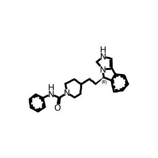 O=C(Nc1ccccc1)N1CCC(CC[C@@H]2c3ccccc3C3=CNCN32)CC1